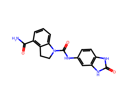 NC(=O)c1cccc2c1CCN2C(=O)Nc1ccc2[nH]c(=O)[nH]c2c1